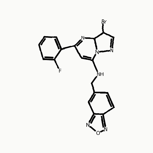 Fc1ccccc1C1=NC2C(Br)C=NN2C(NCc2ccc3nonc3c2)=C1